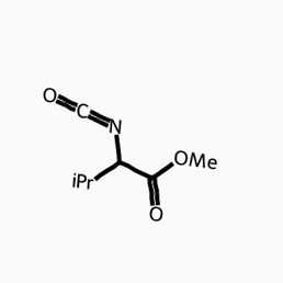 COC(=O)C(N=C=O)C(C)C